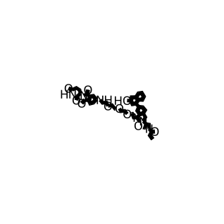 C=CC(=O)N1CC(N2Cc3ccc(-c4cc(O)cc5ccccc45)cc3N(CCOCCOCCOCCNc3ccc4c(c3)C(=O)N(C3CCC(=O)NC3=O)C4=O)C2=O)C1